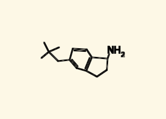 CC(C)(C)Cc1ccc2c(c1)CCC2N